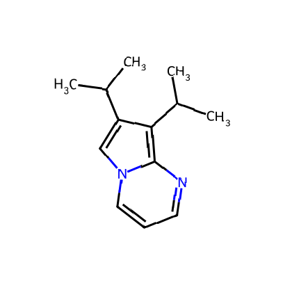 CC(C)c1cn2cccnc2c1C(C)C